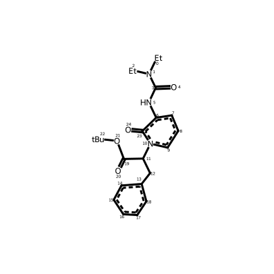 CCN(CC)C(=O)Nc1cccn(C(Cc2ccccc2)C(=O)OC(C)(C)C)c1=O